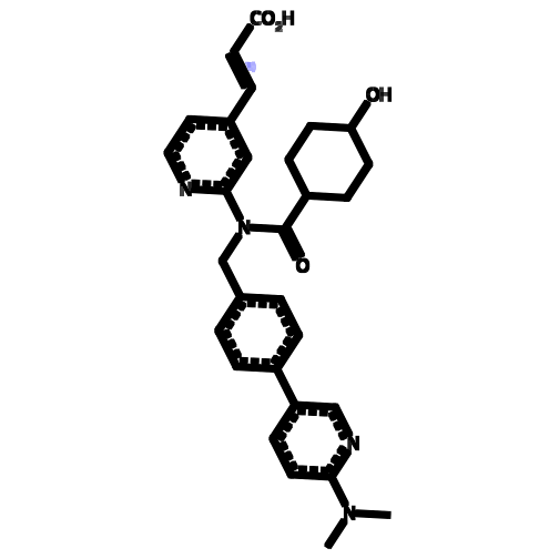 CN(C)c1ccc(-c2ccc(CN(C(=O)C3CCC(O)CC3)c3cc(/C=C/C(=O)O)ccn3)cc2)cn1